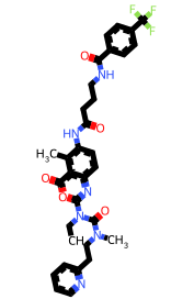 CCN(C(=O)N(C)CCc1ccccn1)c1nc2ccc(NC(=O)CCCNC(=O)c3ccc(C(F)(F)F)cc3)c(C)c2c(=O)o1